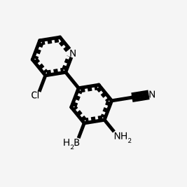 Bc1cc(-c2ncccc2Cl)cc(C#N)c1N